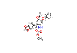 CCOC(=O)Oc1[nH]c2cc(OCc3ccccc3)c(OC)cc2c1-c1ccc2c(c1)OCO2